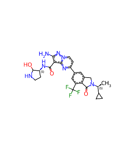 C[C@@H](C1CC1)N1Cc2cc(-c3ccn4nc(N)c(C(=O)N[C@H]5CCNC5O)c4n3)cc(C(F)(F)F)c2C1=O